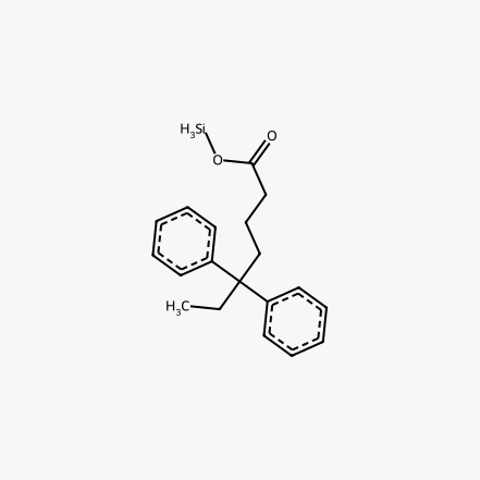 CCC(CCCC(=O)O[SiH3])(c1ccccc1)c1ccccc1